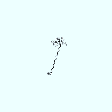 CC(O)(C(=O)[O-])[N+](C)(C)CCCCCCCCCCCCCO